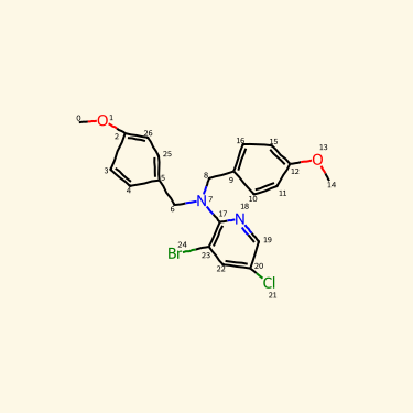 COc1ccc(CN(Cc2ccc(OC)cc2)c2ncc(Cl)cc2Br)cc1